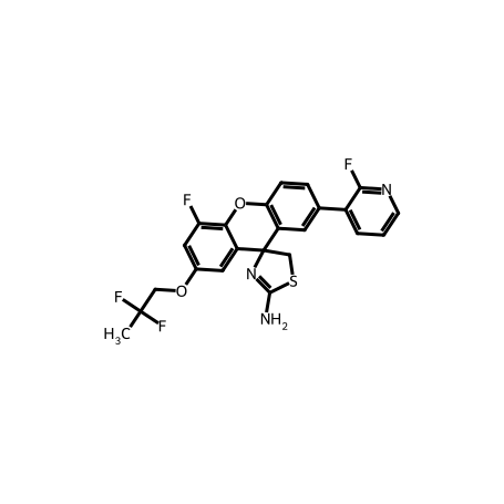 CC(F)(F)COc1cc(F)c2c(c1)C1(CSC(N)=N1)c1cc(-c3cccnc3F)ccc1O2